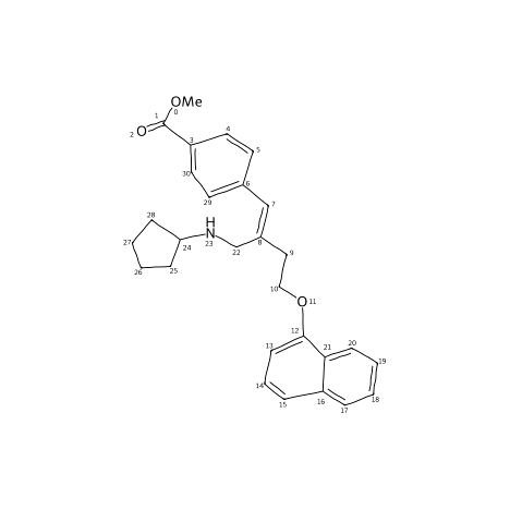 COC(=O)c1ccc(C=C(CCOc2cccc3ccccc23)CNC2CCCC2)cc1